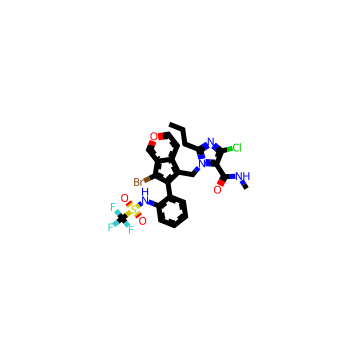 CCCc1nc(Cl)c(C(=O)NC)n1Cc1c2ccocc-2c(Br)c1-c1ccccc1NS(=O)(=O)C(F)(F)F